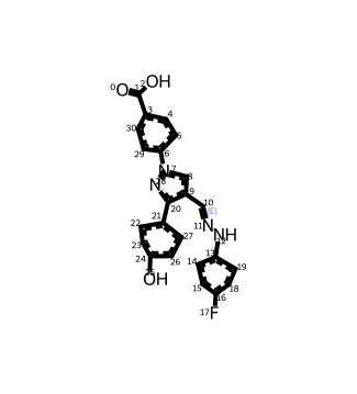 O=C(O)c1ccc(-n2cc(/C=N/Nc3ccc(F)cc3)c(-c3ccc(O)cc3)n2)cc1